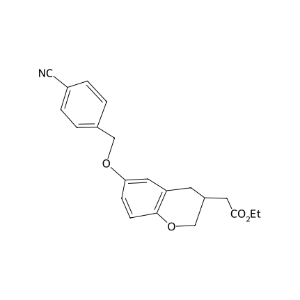 CCOC(=O)CC1COc2ccc(OCc3ccc(C#N)cc3)cc2C1